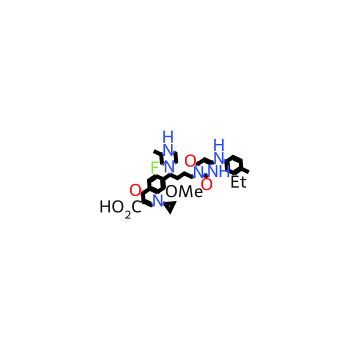 CCc1cc(Nc2cc(=O)n(CCCC(c3c(F)cc4c(=O)c(C(=O)O)cn(C5CC5)c4c3OC)N3CCNC(C)C3)c(=O)[nH]2)ccc1C